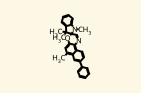 Cc1cc2c(c3ccc(-c4ccccc4)cc13)N=CC1(O2)N(C)c2ccccc2C1(C)C